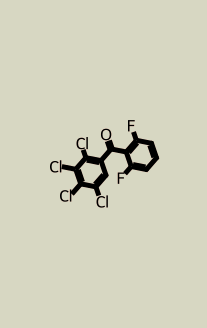 O=C(c1cc(Cl)c(Cl)c(Cl)c1Cl)c1c(F)cccc1F